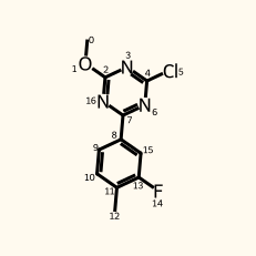 COc1nc(Cl)nc(-c2ccc(C)c(F)c2)n1